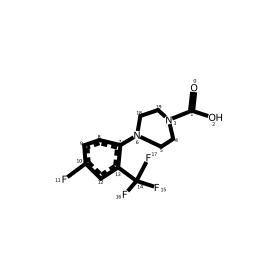 O=C(O)N1CCN(c2ccc(F)cc2C(F)(F)F)CC1